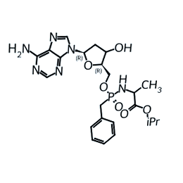 CC(C)OC(=O)C(C)NP(=O)(Cc1ccccc1)OC[C@H]1O[C@@H](n2cnc3c(N)ncnc32)CC1O